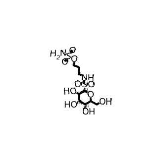 NS(=O)(=O)OCCCNS(=O)(=O)[C@@H]1OC(CO)[C@@H](O)[C@H](O)C1O